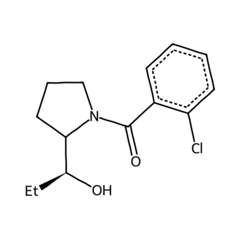 CC[C@H](O)C1CCCN1C(=O)c1ccccc1Cl